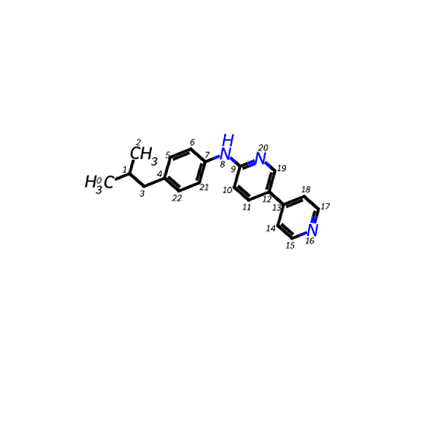 CC(C)Cc1ccc(Nc2ccc(-c3ccncc3)cn2)cc1